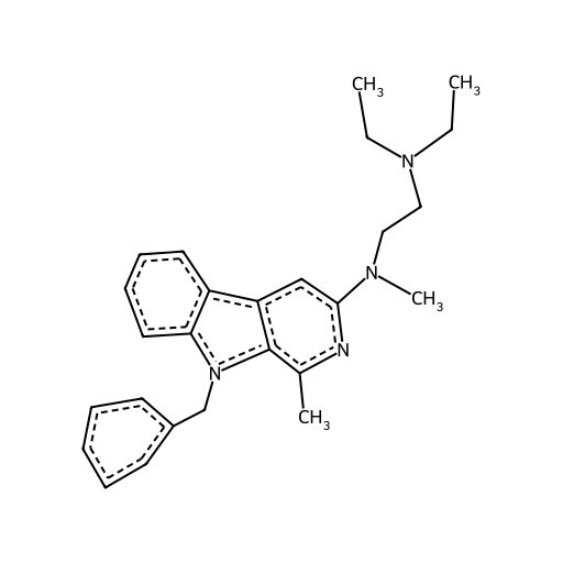 CCN(CC)CCN(C)c1cc2c3ccccc3n(Cc3ccccc3)c2c(C)n1